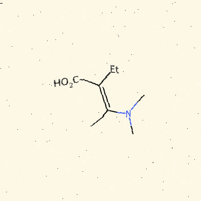 CCC(C(=O)O)=C(C)N(C)C